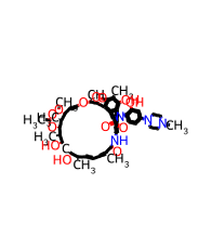 CO[C@H]1/C=C/O[C@@]2(C)Oc3c(C)c(O)c4c(=O)c(c5oc6cc(N7CCN(C)CC7)cc(O)c6nc-5c4c3C2=O)NC(=O)/C(C)=C\C=C\[C@H](C)[C@H](O)C[C@@H](O)[C@@H](C)[C@H](OC(C)=O)[C@@H]1C